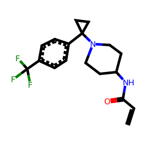 C=CC(=O)NC1CCN(C2(c3ccc(C(F)(F)F)cc3)CC2)CC1